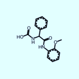 COc1ccccc1NC(=O)C(NC(=O)O)c1ccccc1